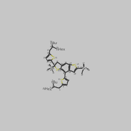 CCCCCCC(CCCC)Cc1ccc(-c2c3c(cc4s[c]([Sn]([CH3])([CH3])[CH3])cc24)C[C](c2ccc(CC(CCCC)CCCCCC)s2)([Sn]([CH3])([CH3])[CH3])S3)s1